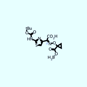 BOC(=O)C1(O/N=C(\C(=O)O)c2csc(NC(=O)OC(C)(C)C)n2)CC1